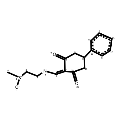 C[S+]([O-])CCNC=C1C(=O)CC(c2ccccc2)CC1=O